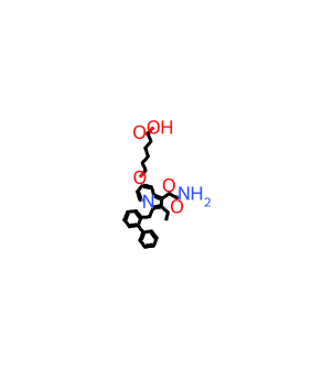 CCc1c(C(=O)C(N)=O)c2cc(OCCCCCC(=O)O)ccn2c1Cc1ccccc1-c1ccccc1